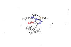 CSc1nnc(C(C)(C)C)c(=O)n1N(C)C